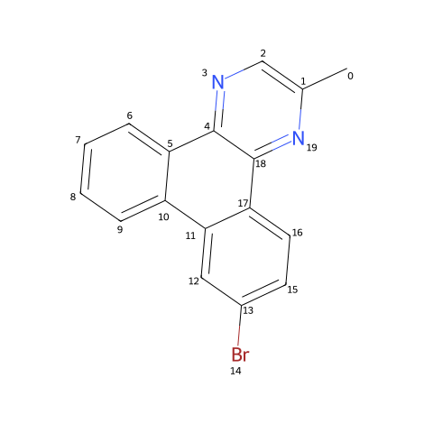 Cc1cnc2c3ccccc3c3cc(Br)ccc3c2n1